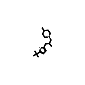 CC1CCN(CC(C)Cc2ccc(C(C)(C)C)s2)CC1